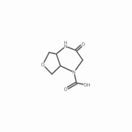 O=C1CN(C(=O)O)C2COCC2N1